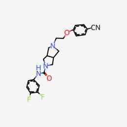 N#Cc1ccc(OCCN2CC3CN(C(=O)Nc4ccc(F)c(F)c4)CC3C2)cc1